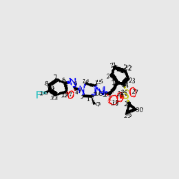 C[C@H]1CN(c2nc3ccc(F)cc3o2)CCN1C(=O)c1ccccc1S(=O)(=O)C1CC1